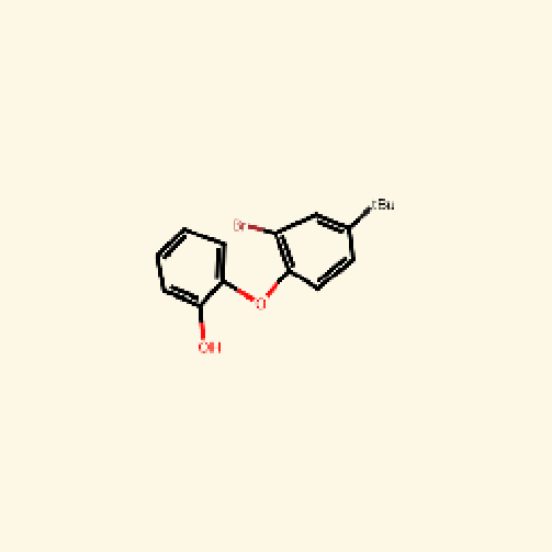 CC(C)(C)c1ccc(Oc2ccccc2O)c(Br)c1